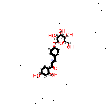 O=C(/C=C/c1ccc(O[C@H]2O[C@H](CO)[C@@H](O)[C@@H](O)[C@H]2O)cc1)c1ccc(O)cc1O